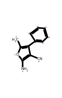 Cc1oc(N)c(C#N)c1-c1ccccc1